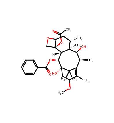 CO[C@H]1C[C@@]2(O)[C@@H](OC(=O)c3ccccc3)[C@H]3[C@@](C)([C@@H](C)CC4OC[C@]43OC(C)=O)[C@@H](O)[C@@H](C)C(=C1C)C2(C)C